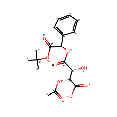 CC(=O)O[C@@H](C(=O)O)[C@@H](O)C(=O)O[C@@H](C(=O)OC(C)(C)C)c1ccccc1